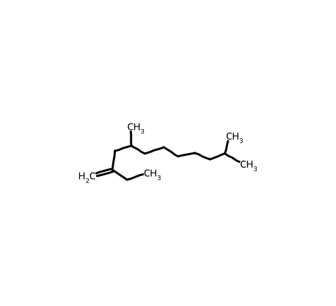 C=C(CC)CC(C)CCCCCC(C)C